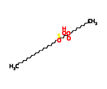 CCCCCCCCCCCCCCCCCCCCOC(=S)CC(O)C(=O)OCCCCCCCCCC